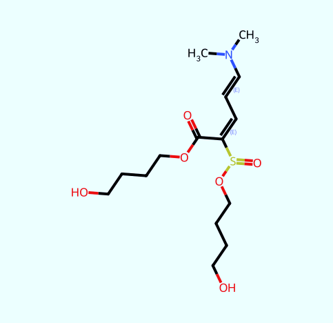 CN(C)/C=C/C=C(\C(=O)OCCCCO)S(=O)OCCCCO